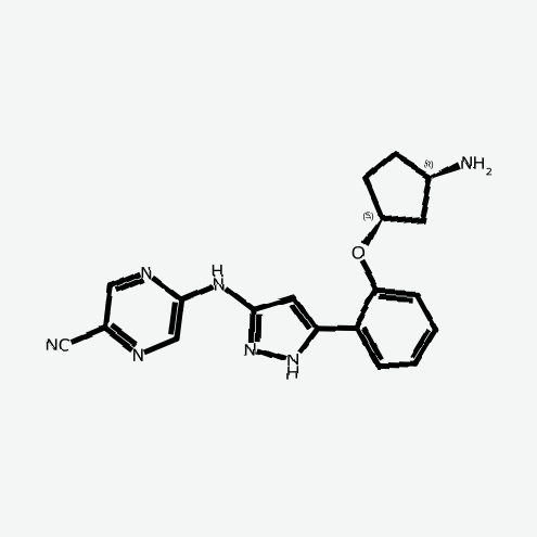 N#Cc1cnc(Nc2cc(-c3ccccc3O[C@H]3CC[C@@H](N)C3)[nH]n2)cn1